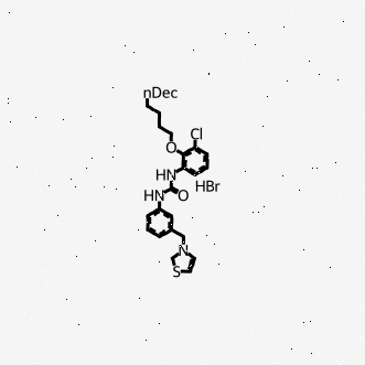 Br.CCCCCCCCCCCCCCOc1c(Cl)cccc1NC(=O)Nc1cccc(CN2C=CSC2)c1